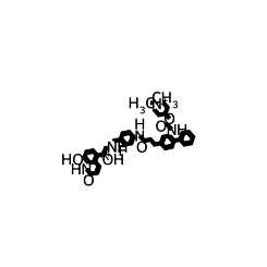 C[N+]1(C)CCC(OC(=O)Nc2cc(CCC(=O)Nc3ccc(CNC[C@H](O)c4ccc(O)c5[nH]c(=O)ccc45)c(F)c3)ccc2-c2ccccc2)CC1